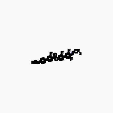 CCCCc1ccc(-c2ccc(C(=O)Oc3ccc(-c4cc(F)c(/C=C/C(F)(F)F)c(F)c4)c(F)c3)c(F)c2)cc1